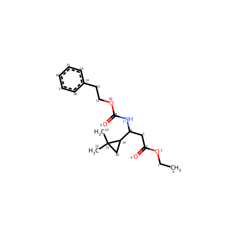 CCOC(=O)CC(NC(=O)OCCc1ccccc1)C1CC1(C)C